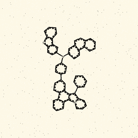 c1ccc(-c2c3c4cc(-c5ccc(N(c6ccc7c(ccc8ccccc87)c6)c6ccc7sc8ccccc8c7c6)cc5)ccc4c4ccccc4c3n3ccccc23)cc1